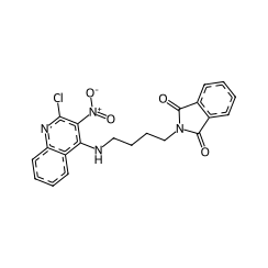 O=C1c2ccccc2C(=O)N1CCCCNc1c([N+](=O)[O-])c(Cl)nc2ccccc12